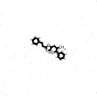 CC(CC1COC(CCc2ccccc2)O1)C(O)c1ccccc1